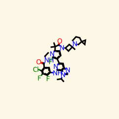 CCNC(=O)c1cc(Nc2nc(-c3cc4c(nc3F)C(C)(C)C(=O)N4C3CC(C)(N4CCCC5(CC5)C4)C3)cc3ncn(C(C)C)c23)c(F)c(F)c1Cl